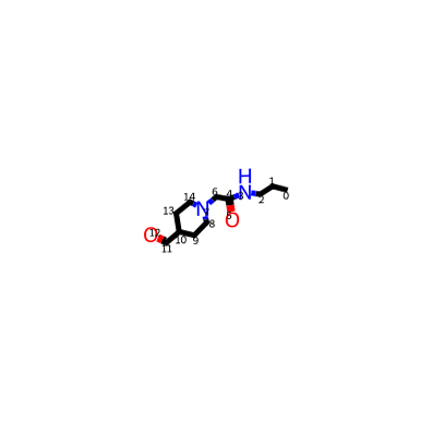 CCCNC(=O)CN1CCC(C=O)CC1